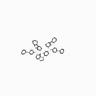 C1=CC2c3ccc(N(c4ccc(-c5ccccc5)cc4)c4cccc5c4oc4ccccc45)cc3Oc3c(N(c4ccc(-c5ccccc5)cc4)c4cccc5c4oc4ccccc45)ccc1c32